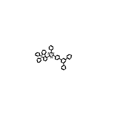 c1ccc(-c2cc(-c3ccccc3)cc(-c3ccc(-c4nc(-c5ccccc5)nc(-c5cccc6c5-c5ccccc5S6(c5ccccc5)c5ccccc5)n4)cc3)c2)cc1